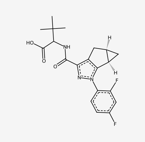 CC(C)(C)C(NC(=O)c1nn(-c2ccc(F)cc2F)c2c1C[C@H]1C[C@@H]21)C(=O)O